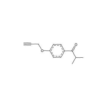 C#CCOc1ccc(C(=O)C(C)C)cc1